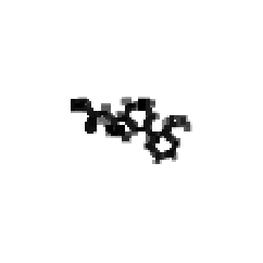 CC1CCCCN1c1cncc(C(N)CC(=O)O)c1